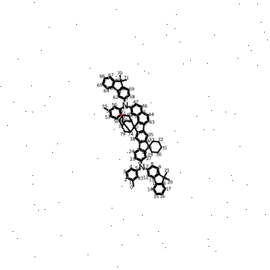 Cc1cccc(N(c2ccc3c(c2)-c2ccccc2C3(C)C)c2ccc3c(c2)C2(CCCCC2)c2cc4c(cc2-3)C2(c3c-4ccc4ccc(N(c5cccc(C)c5)c5ccc6c(c5)-c5ccccc5C6(C)C)cc34)C3CC4CC(C3)CC2C4)c1